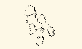 Clc1ccccc1-c1ccc2c(c1)S(c1ccccc1)(c1ccccc1)c1ccccc1-2